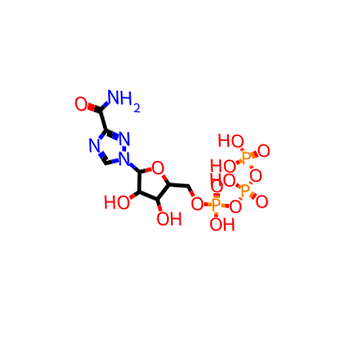 NC(=O)c1ncn(C2OC(COP(=O)(O)OP(=O)(O)OP(=O)(O)O)C(O)C2O)n1